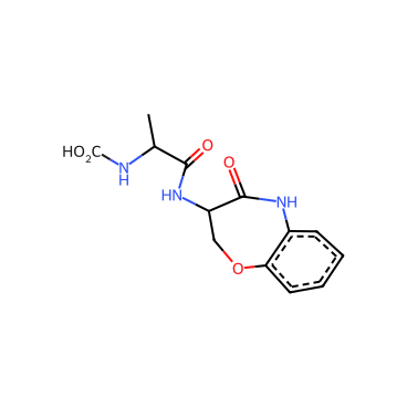 CC(NC(=O)O)C(=O)NC1COc2ccccc2NC1=O